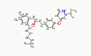 CCC(C)c1cc(Oc2ccc(CCC(=O)Cc3cc(C)c(C)cc3CCCCCC(C)C)cc2)ccn1